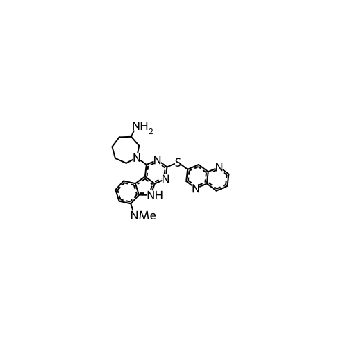 CNc1cccc2c1[nH]c1nc(Sc3cnc4cccnc4c3)nc(N3CCCCC(N)C3)c12